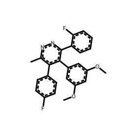 COc1cc(OC)cc(-c2c(-c3ccccc3F)nnc(C)c2-c2ccc(F)cc2)c1